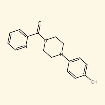 O=C(c1ccccn1)N1CCN(c2ccc(O)cc2)CC1